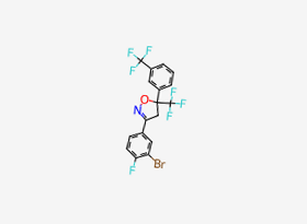 Fc1ccc(C2=NOC(c3cccc(C(F)(F)F)c3)(C(F)(F)F)C2)cc1Br